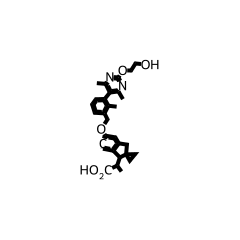 Cc1nc(OCCO)nc(C)c1-c1cccc(COc2ccc3c(c2)CC2(CC2)C3C(C)C(=O)O)c1C